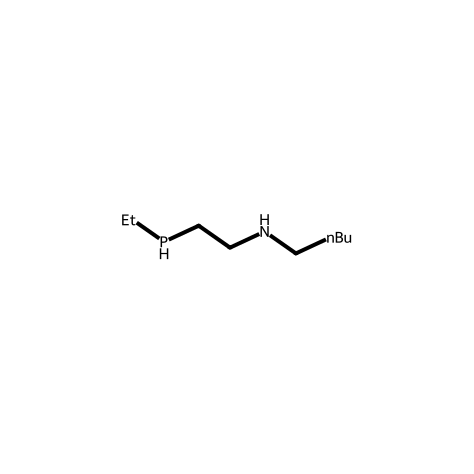 CCCCCNCCPCC